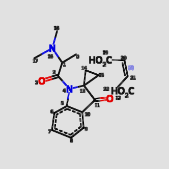 CC(C(=O)N1c2ccccc2C(=O)C12CC2)N(C)C.O=C(O)/C=C\C(=O)O